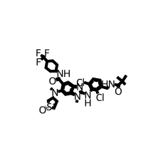 CN(c1cc2c(cc1C(=O)NC1CCC(C(F)(F)F)CC1)nc(Nc1c(Cl)ccc(CNC(=O)C(C)(C)C)c1Cl)n2C)[C@@H]1CC[S@@+]([O-])C1